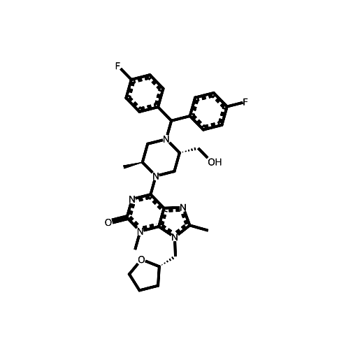 Cc1nc2c(N3C[C@@H](CO)N(C(c4ccc(F)cc4)c4ccc(F)cc4)C[C@@H]3C)nc(=O)n(C)c2n1C[C@@H]1CCCO1